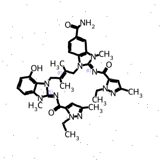 CCn1nc(C)cc1C(=O)/N=c1\n(C)c2cc(C(N)=O)ccc2n1C/C(C)=C(\C)Cn1/c(=N/C(=O)c2cc(C)nn2CC)n(C)c2cccc(O)c21